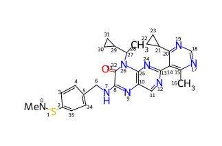 CNSc1ccc(CNc2nc3cnc(-c4c(C)ncnc4C4CC4)nc3n(C(C)C3CC3)c2=O)cc1